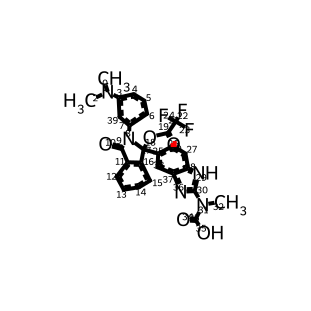 CN(C)c1cccc(N2C(=O)c3ccccc3C2(OC(=O)C(F)(F)F)c2ccc3[nH]c(N(C)C(=O)O)nc3c2)c1